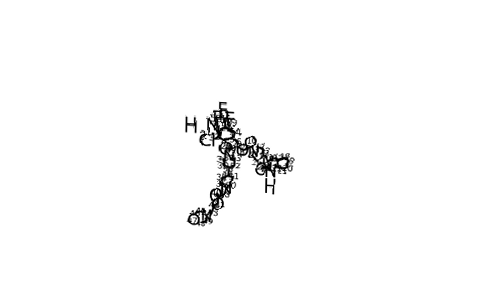 Nc1c(Cl)cc(C[C@@H](OC(=O)N2CCC(N3Cc4ccccc4NC3=O)CC2)C(=O)N2CCC(C3CCN(CC(=O)OCCN4CCOCC4)CC3)CC2)cc1C(F)(F)F